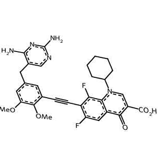 COc1cc(Cc2cnc(N)nc2N)cc(C#Cc2c(F)cc3c(=O)c(C(=O)O)cn(C4CCCCC4)c3c2F)c1OC